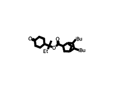 CCC(C)C1C2CC(C(=O)OC(C)(CC)C3CCC(=O)CC3)C(C2)C1C(C)CC